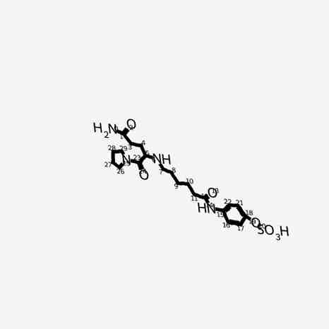 NC(=O)CCC(NCCCCCC(=O)Nc1ccc(OS(=O)(=O)O)cc1)C(=O)N1CCCC1